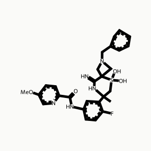 COc1ccc(C(=O)Nc2ccc(F)c(C3(C)CS(O)(O)C4(CN(Cc5ccccc5)C4)C(=N)N3)c2)nc1